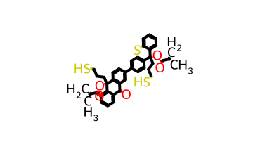 C=C(C)C(=O)OC1(CCCS)c2ccccc2Sc2cc(-c3ccc4c(c3)C(=O)c3ccccc3C4(CCCS)OC(=O)C(=C)C)ccc21